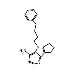 Nc1ncnc2c3c(n(CCCCc4ccccc4)c12)CCC3